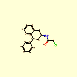 O=C(CCl)NC1Cc2ccccc2C(c2ccccc2)C1